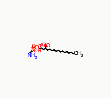 CCCCCCCCCCCCCCC(CC(O)COP(=O)(O)OCCN)C(=O)O